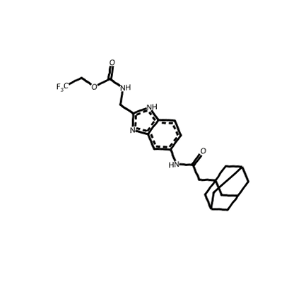 O=C(CC12CC3CC(CC(C3)C1)C2)Nc1ccc2[nH]c(CNC(=O)OCC(F)(F)F)nc2c1